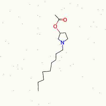 CCCCCCCCCN1CCC(OC(C)=O)C1